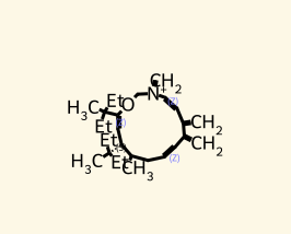 C=C1/C=C\CC(C)[C@H](C(C)(CC)CC)/C=C(/C(C)(CC)CC)OC[N+](=C)/C=C\C1=C